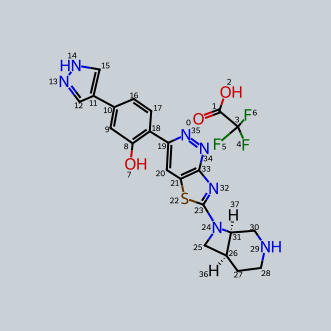 O=C(O)C(F)(F)F.Oc1cc(-c2cn[nH]c2)ccc1-c1cc2sc(N3C[C@@H]4CCNC[C@@H]43)nc2nn1